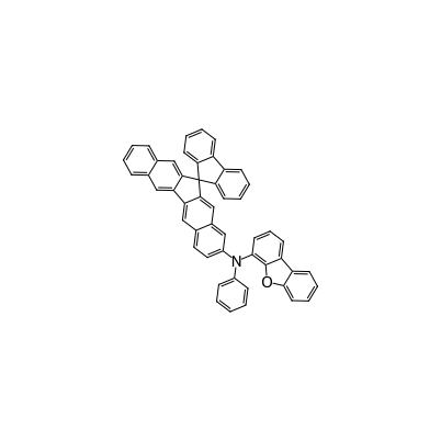 c1ccc(N(c2ccc3cc4c(cc3c2)C2(c3ccccc3-c3ccccc32)c2cc3ccccc3cc2-4)c2cccc3c2oc2ccccc23)cc1